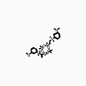 C=C([Si]1(C)O[Si](C)(C)O[Si](C)(CC[Si](C)(C)c2cccc(N(C)C)c2)O[Si](C)(C)O1)[Si](C)(C)c1cccc(N(C)C)c1